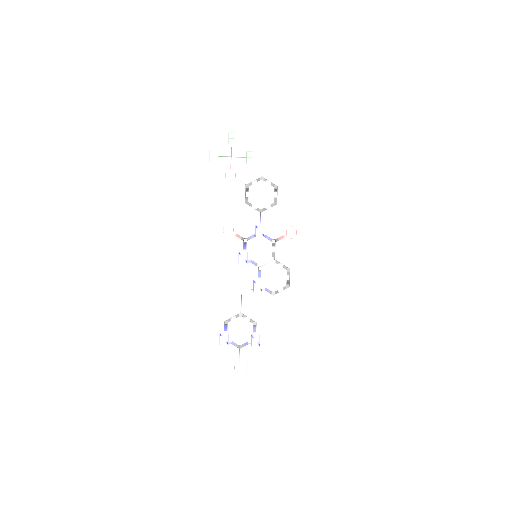 O=c1nc2n(Cc3cnc(Cl)nc3)cccc-2c(=O)n1-c1cccc(OC(F)(F)F)c1